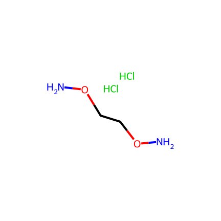 Cl.Cl.NOCCON